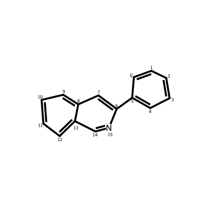 [c]1ccccc1-c1cc2ccccc2cn1